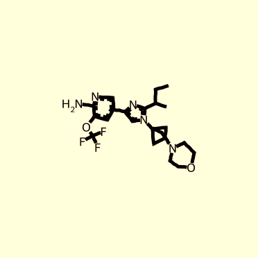 CCC(C)c1nc(-c2cnc(N)c(OC(F)(F)F)c2)cn1C12CC(N3CCOCC3)(C1)C2